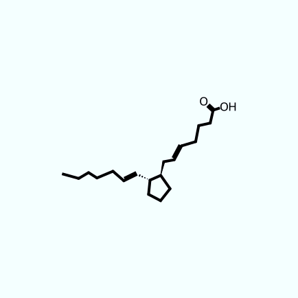 CCCCCC=C[C@H]1CCC[C@@H]1CC=CCCCC(=O)O